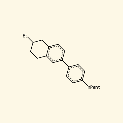 CCCCCc1ccc(-c2ccc3c(c2)CCC(CC)C3)cc1